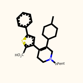 CCCCCN1CCC(c2cc(-c3ccccc3)sc2C(=O)O)=C(C2CCC(C)CC2)C1